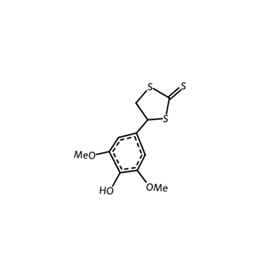 COc1cc(C2CSC(=S)S2)cc(OC)c1O